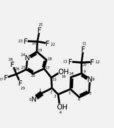 N#CC(C(O)c1ccnc(C(F)(F)F)c1)C(O)c1cc(C(F)(F)F)nc(C(F)(F)F)c1